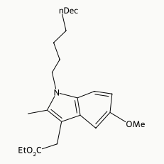 CCCCCCCCCCCCCCn1c(C)c(CC(=O)OCC)c2cc(OC)ccc21